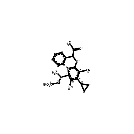 CCOC(=O)NN(C)c1nc(SC(C(N)=O)c2ccccc2)c(C#N)c(C2CC2)c1C#N